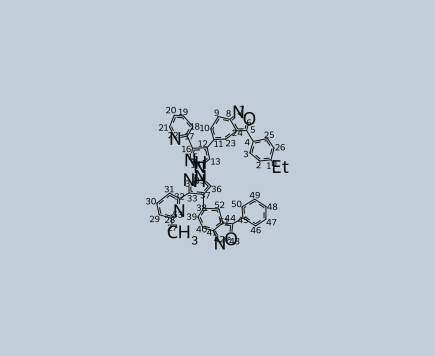 CCc1ccc(-c2onc3ccc(-c4c[nH]nc4-c4ccccn4)cc23)cc1.Cc1cccc(-c2n[nH]cc2-c2ccc3noc(-c4ccccc4)c3c2)n1